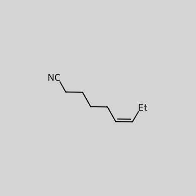 CC/C=C\CCCCC#N